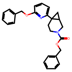 O=C(OCc1ccccc1)N1CCC2(c3cccc(OCc4ccccc4)n3)CC2C1